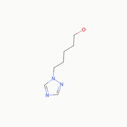 [O]CCCCCn1cncn1